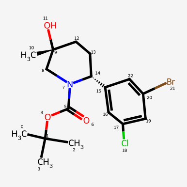 CC(C)(C)OC(=O)N1C[C@](C)(O)CC[C@@H]1c1cc(Cl)cc(Br)c1